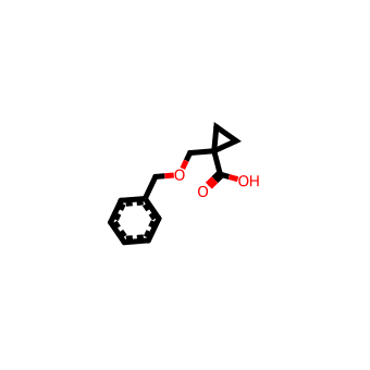 O=C(O)C1(COCc2ccccc2)CC1